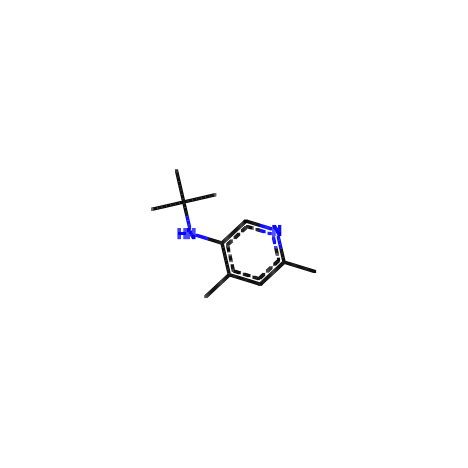 Cc1cc(C)c(NC(C)(C)C)cn1